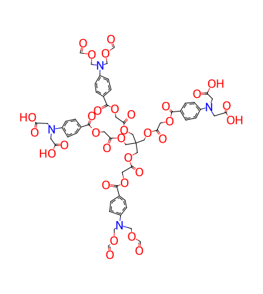 O=COCN(COC=O)c1ccc(C(=O)OCC(=O)OCC(COC(=O)COC(=O)c2ccc(N(COC=O)COC=O)cc2)(COC(=O)COC(=O)c2ccc(N(CC(=O)O)CC(=O)O)cc2)COC(=O)COC(=O)c2ccc(N(CC(=O)O)CC(=O)O)cc2)cc1